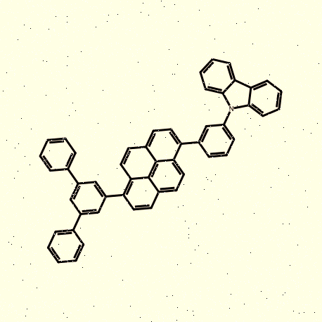 c1ccc(-c2cc(-c3ccccc3)cc(-c3ccc4ccc5c(-c6cccc(-n7c8ccccc8c8ccccc87)c6)ccc6ccc3c4c65)c2)cc1